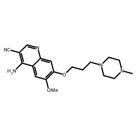 COc1cc2c(N)c(C#N)cnc2cc1OCCCN1CCN(C)CC1